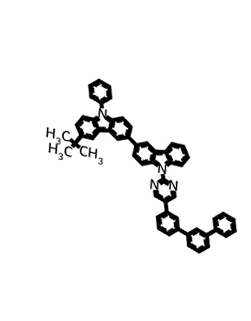 CC(C)(C)c1ccc2c(c1)c1cc(-c3ccc4c(c3)c3ccccc3n4-c3ncc(-c4cccc(-c5cccc(-c6ccccc6)c5)c4)cn3)ccc1n2-c1ccccc1